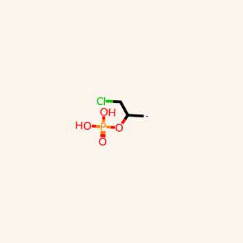 [CH2]C(CCl)OP(=O)(O)O